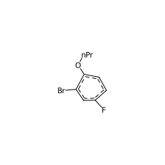 CCCOc1ccc(F)cc1Br